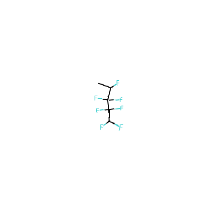 C[C](F)C(F)(F)C(F)(F)C(F)F